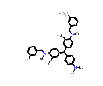 CCN(CC)c1ccc(/C(=C2C=C/C(=[N+](/CC)Cc3cccc(S(=O)(=O)O)c3)C(C)=C/2)c2ccc(N(CC)Cc3cccc(S(=O)(=O)O)c3)c(C)c2)cc1